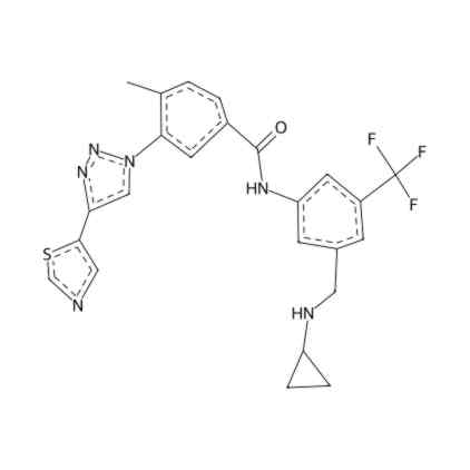 Cc1ccc(C(=O)Nc2cc(CNC3CC3)cc(C(F)(F)F)c2)cc1-n1cc(-c2cncs2)nn1